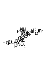 CC[C@@](C)(O)CCCCNc1ncc(S(=O)(=O)NC(=O)c2ccc(N3CCC4(CC3)CN([C@@H]3CCC[C@@H]3c3ccccc3C(C)C)C4)cc2Oc2cc3c(F)c[nH]c3nc2OC(C)C)cc1[N+](=O)[O-]